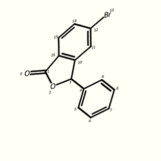 O=C1OC(c2ccccc2)c2cc(Br)ccc21